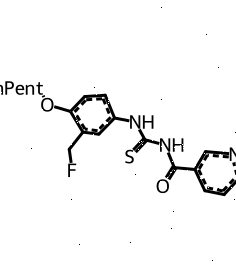 CCCCCOc1ccc(NC(=S)NC(=O)c2cccnc2)cc1CF